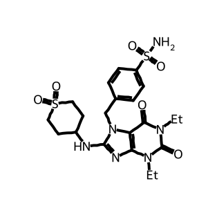 CCn1c(=O)c2c(nc(NC3CCS(=O)(=O)CC3)n2Cc2ccc(S(N)(=O)=O)cc2)n(CC)c1=O